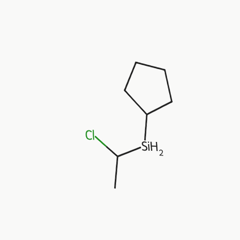 CC(Cl)[SiH2]C1CCCC1